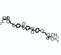 C=C(C)C(=O)OCCCOc1ccc(C(=O)Oc2ccc(OC(=O)c3ccc(OCCCOC(=O)C(=C)C)cc3)cc2)cc1